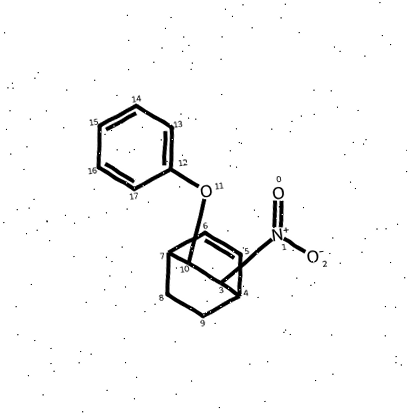 O=[N+]([O-])C1C2C=CC(CC2)C1Oc1ccccc1